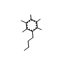 CCCCc1c(Cl)c(Cl)c(Cl)c(Cl)c1Cl